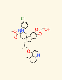 COC(=O)C1(Nc2cccc(Cl)c2)CCC2(CC1)c1cc3c(cc1C[C@@H]2C[C@@H](C)COc1ccnc2c1[C@H](C)CCC2)OC(CO)O3